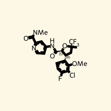 CNC(=O)c1cc(NC(=O)[C@H]2O[C@](C)(C(F)(F)F)C[C@@H]2c2ccc(F)c(Cl)c2OC)ccn1